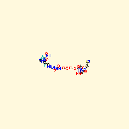 Cc1ncsc1-c1ccc(CNC(=O)[C@@H]2C[C@@H](O)CN2C(=O)[C@@H](NC(=O)CCOCCOCCOCCOCCNC(=O)CCC(=O)N2CCN(c3ccc(-c4cc(NC(=O)c5c[nH]c(=O)cc5C(F)(F)F)c(N5C[C@@H](C)N(C)[C@@H](C)C5)cc4F)cn3)CC2)C(C)(C)C)cc1